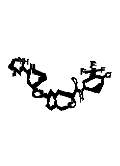 O=C(Nc1ccc(Cl)c(C(F)(F)F)c1)C1Cc2cc(Oc3ccnc(C4=NCCN4)c3)ccc2CO1